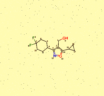 OCc1c(C2CCC(F)(F)CC2)noc1C1CC1